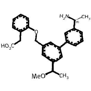 COC(C)c1cc(COc2ccccc2CC(=O)O)cc(-c2cccc([C@@H](C)N)c2)c1